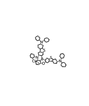 Cc1ccccc1N1c2cc3c(cc2B2c4cc5sc6cc(N(c7ccccc7)c7ccccc7)ccc6c5cc4Oc4cccc1c42)sc1cc(N(c2ccccc2)c2ccccc2)ccc13